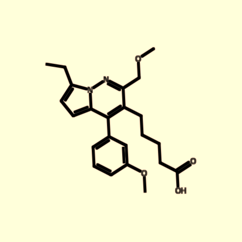 CCc1ccc2c(-c3cccc(OC)c3)c(CCCCC(=O)O)c(COC)nn12